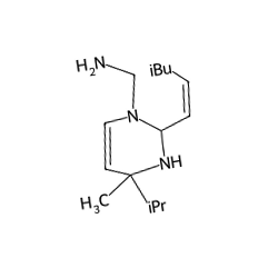 CCC(C)/C=C\C1NC(C)(C(C)C)C=CN1CN